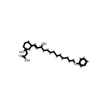 O=C(O)CC1(O)CCCC(/C=C/C(O)CCCCCCCCCCOc2ccccc2)C1